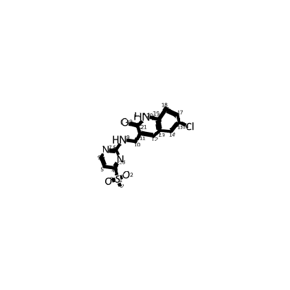 CS(=O)(=O)c1ccnc(NCc2cc3cc(Cl)ccc3[nH]c2=O)n1